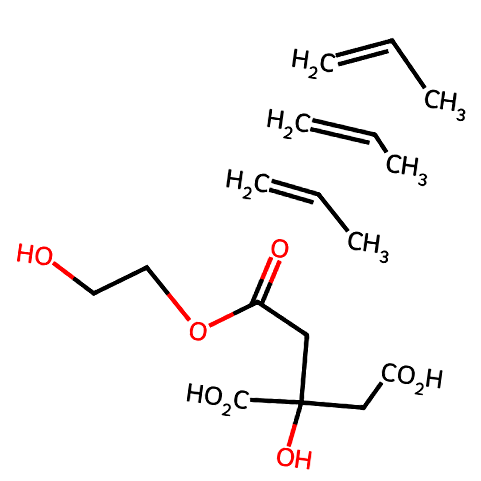 C=CC.C=CC.C=CC.O=C(O)CC(O)(CC(=O)OCCO)C(=O)O